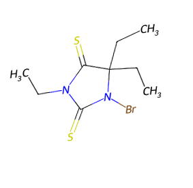 CCN1C(=S)N(Br)C(CC)(CC)C1=S